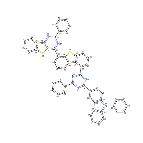 c1ccc(-c2nc(-c3ccc4c(c3)c3ccccc3n4-c3ccccc3)nc(-c3cccc4sc5c(-c6nc(-c7ccccc7)nc7c6sc6ccccc67)cccc5c34)n2)cc1